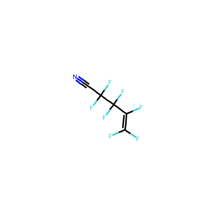 N#CC(F)(F)C(F)(F)C(F)=C(F)F